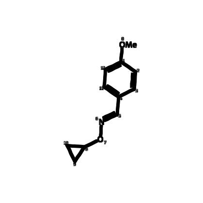 COc1ccc(/[C]=N/OC2CC2)cc1